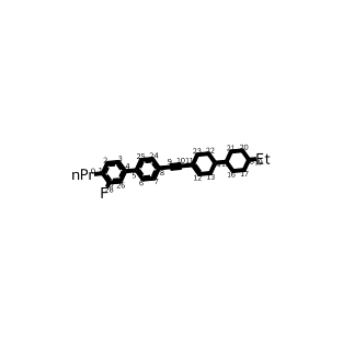 CCCc1ccc(-c2ccc(C#CC3=CCC(C4CCC(CC)CC4)CC3)cc2)cc1F